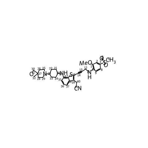 COc1cc(S(C)(=O)=O)ccc1NCC#Cc1sc2c(NC3CCC(N4CCC5(CC4)COC5)CC3)cccc2c1CC#N